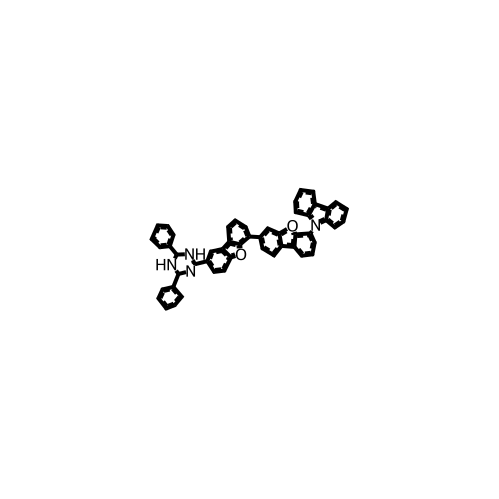 c1ccc(C2N=C(c3ccc4oc5c(-c6ccc7c(c6)oc6c(-n8c9ccccc9c9ccccc98)cccc67)cccc5c4c3)NC(c3ccccc3)N2)cc1